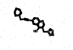 Oc1c(Cn2cnnn2)cnc2ccc(C#CCc3ccccc3)cc12